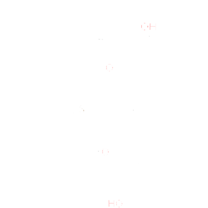 OCc1ccc(Sc2ccc(CO)o2)o1